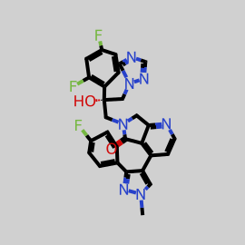 Cn1cc(-c2ccnc3c2C(=O)N(C[C@](O)(Cn2cncn2)c2ccc(F)cc2F)C3)c(-c2ccc(F)cc2)n1